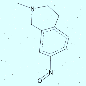 CN1CCc2ccc(N=O)cc2C1